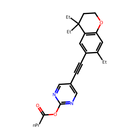 CCCC(=O)Oc1ncc(C#Cc2cc3c(cc2CC)OCCC3(CC)CC)cn1